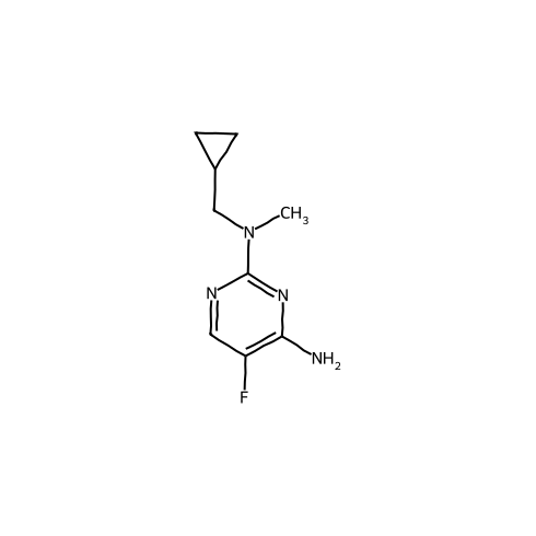 CN(CC1CC1)c1ncc(F)c(N)n1